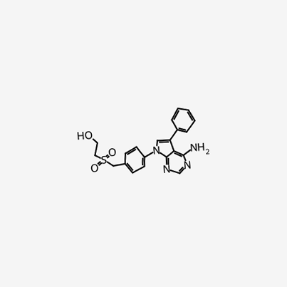 Nc1ncnc2c1c(-c1ccccc1)cn2-c1ccc(CS(=O)(=O)CCO)cc1